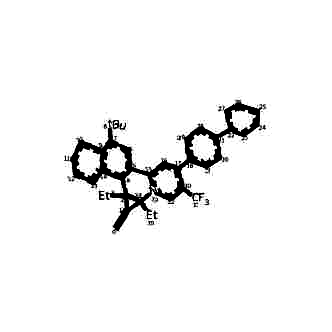 C=C1C2(CC)c3c(cc(C(C)(C)C)c4ccccc34)-c3cc(-c4ccc(-c5ccccc5)cc4)c(C(F)(F)F)c[n+]3C12CC